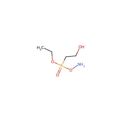 CCOP(=O)(CCO)ON